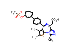 Cc1sc2c(c1C)C(c1ccc(-c3cccc(OS(=O)(=O)C(F)(F)F)c3)cc1)=N[C@@H](CC(=O)O)c1nnc(C)n1-2